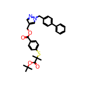 CC(C)(C)OC(=O)C(C)(C)Sc1ccc(C(=O)OCc2cnn(Cc3ccc(-c4ccccc4)cc3)c2)cc1